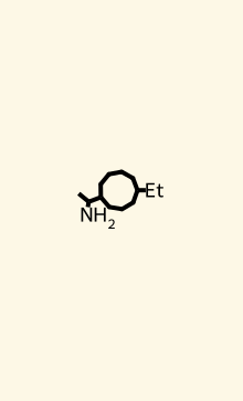 CCC1CCCCC(C(C)N)CCC1